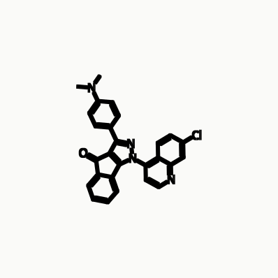 CN(C)c1ccc(-c2nn(-c3ccnc4cc(Cl)ccc34)c3c2C(=O)c2ccccc2-3)cc1